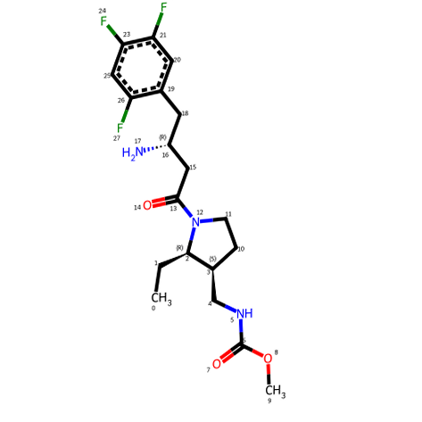 CC[C@@H]1[C@H](CNC(=O)OC)CCN1C(=O)C[C@H](N)Cc1cc(F)c(F)cc1F